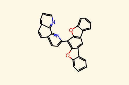 c1cnc2c(c1)ccc1ccc(-c3c4oc5ccccc5c4cc4c3oc3ccccc34)nc12